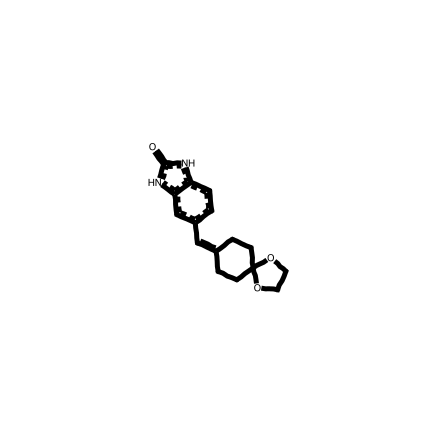 O=c1[nH]c2ccc(C=C3CCC4(CC3)OCCO4)cc2[nH]1